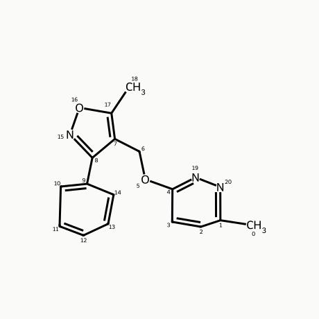 Cc1ccc(OCc2c(-c3ccccc3)noc2C)nn1